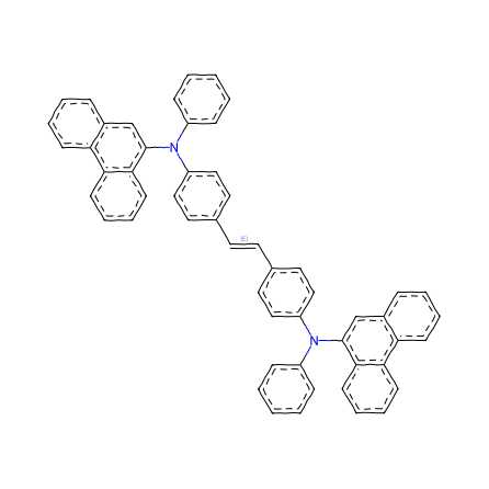 C(=C\c1ccc(N(c2ccccc2)c2cc3ccccc3c3ccccc23)cc1)/c1ccc(N(c2ccccc2)c2cc3ccccc3c3ccccc23)cc1